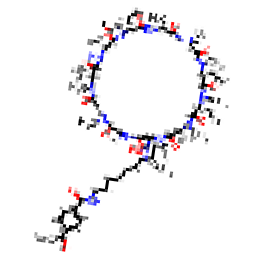 CC[C@H]1NC(=O)[C@@](C[C@H](C)CCCCCCCNC(=O)c2ccc(C(=O)OC)cc2)(NO)N(C)C(=O)[C@@H](C(C)C)N(C)C(=O)[C@@H](CC(C)C)N(C)C(=O)[C@H](CC(C)C)N(C)C(=O)[C@H](C)NC(=O)[C@@H](C)NC(=O)[C@@H](CC(C)C)N(C)C(=O)[C@@H](C(C)C)NC(=O)[C@H](CC(C)C)N(C)C(=O)CN(C)C1=O